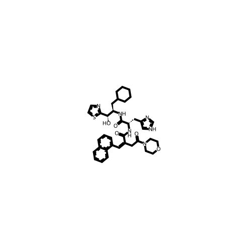 O=C(N[C@@H](Cc1c[nH]cn1)C(=O)N[C@H](CC1CCCCC1)[C@H](O)c1nccs1)C(=Cc1cccc2ccccc12)CC(=O)N1CCOCC1